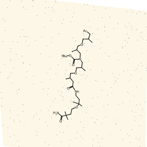 CC(=O)CC(C)COCC(C)CN(CC(C)COCC(C)CC(=O)NCCC(C)(C)OCCC(C)(C)C(N)=O)C(=O)OC(C)(C)C